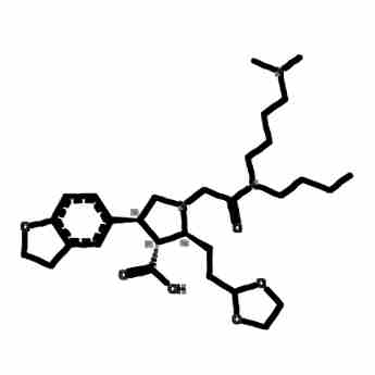 CCCCN(CCCCN(C)C)C(=O)CN1C[C@H](c2ccc3c(c2)CCO3)[C@@H](C(=O)O)[C@@H]1CCC1OCCO1